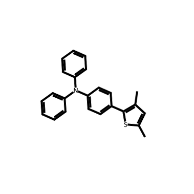 Cc1cc(C)c(-c2ccc(N(c3ccccc3)c3ccccc3)cc2)s1